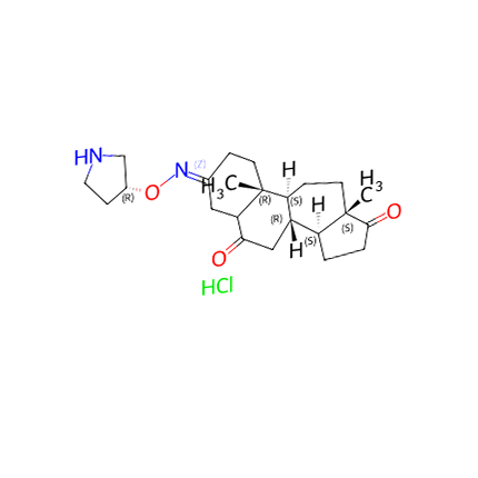 C[C@]12CC/C(=N/O[C@@H]3CCNC3)CC1C(=O)C[C@@H]1[C@@H]2CC[C@]2(C)C(=O)CC[C@@H]12.Cl